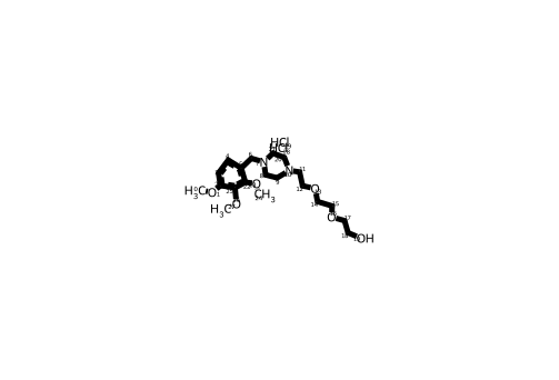 COc1ccc(CN2CCN(CCOCCOCCO)CC2)c(OC)c1OC.Cl.Cl